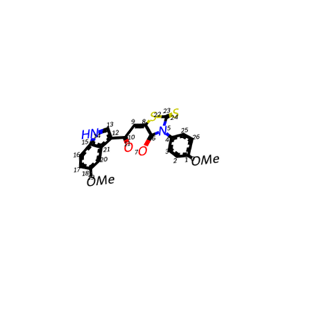 COc1ccc(N2C(=O)C(=CC(=O)c3c[nH]c4ccc(OC)cc34)SC2=S)cc1